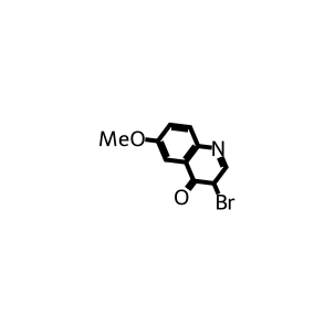 COc1ccc2c(c1)C(=O)C(Br)C=N2